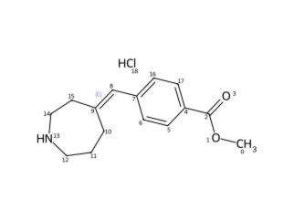 COC(=O)c1ccc(/C=C2\CCCNCC2)cc1.Cl